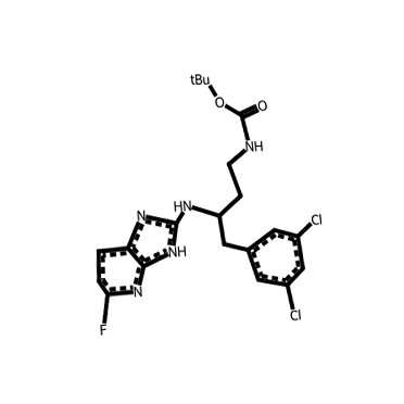 CC(C)(C)OC(=O)NCCC(Cc1cc(Cl)cc(Cl)c1)Nc1nc2ccc(F)nc2[nH]1